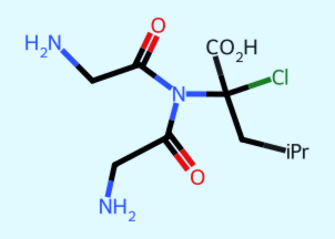 CC(C)CC(Cl)(C(=O)O)N(C(=O)CN)C(=O)CN